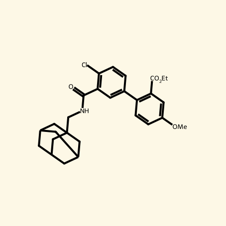 CCOC(=O)c1cc(OC)ccc1-c1ccc(Cl)c(C(=O)NCC23CC4CC(CC(C4)C2)C3)c1